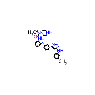 C/C=C(\C(=O)Nc1ccccc1Nc1cccc(-c2cc(Nc3cccc(C)c3)ncn2)c1)N1CCNCC1